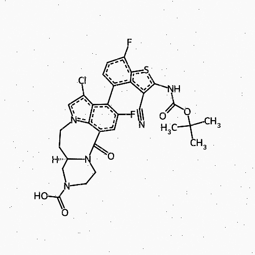 CC(C)(C)OC(=O)Nc1sc2c(F)ccc(-c3c(F)cc4c5c3c(Cl)cn5CC[C@@H]3CN(C(=O)O)CCN3C4=O)c2c1C#N